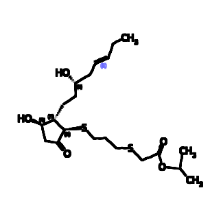 CC/C=C/C[C@@H](O)CC[C@H]1[C@H](O)CC(=O)[C@@H]1SCCCSCC(=O)OC(C)C